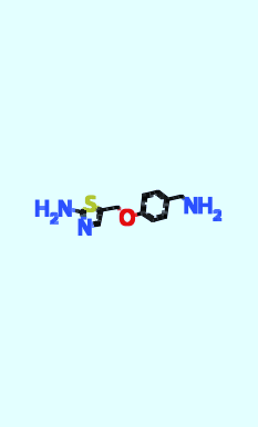 NCc1ccc(OCc2cnc(N)s2)cc1